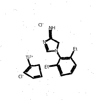 CCc1cccc(CC)c1N1C=NC(=N)C1.[Cl-].[Cl-].[Ti+2][C]1=CC=CC1